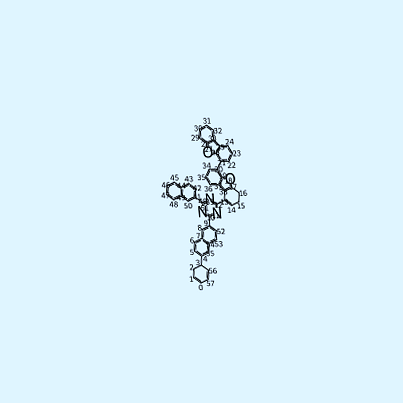 C1=CCC(c2ccc3cc(-c4nc(C5=CCCc6oc7c(-c8cccc9c8oc8ccccc89)cccc7c65)nc(-c5ccc6ccccc6c5)n4)ccc3c2)C=C1